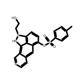 Cc1ccc(S(=O)(=O)Oc2ccc3c4c(c5cnccc5cc24)NN3CCO)cc1